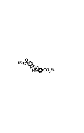 CCOC(=O)c1ccc2[nH]c(NCC3CCN(C(=O)OC(C)(C)C)CC3)nc2c1